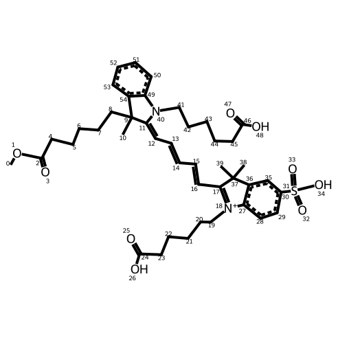 COC(=O)CCCCCC1(C)C(=CC=CC=CC2=[N+](CCCCCC(=O)O)c3ccc(S(=O)(=O)O)cc3C2(C)C)N(CCCCCC(=O)O)c2ccccc21